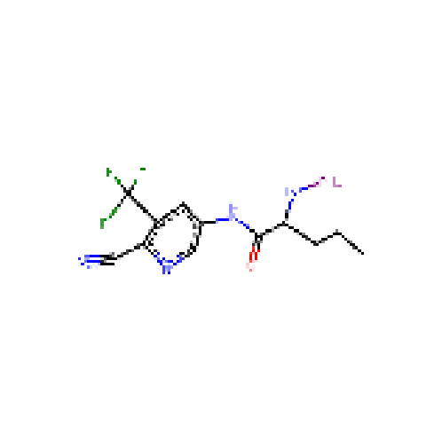 CCCC(NP)C(=O)Nc1cnc(C#N)c(C(F)(F)F)c1